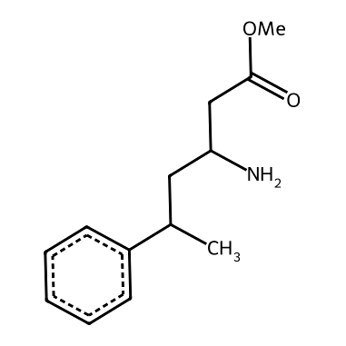 COC(=O)CC(N)CC(C)c1ccccc1